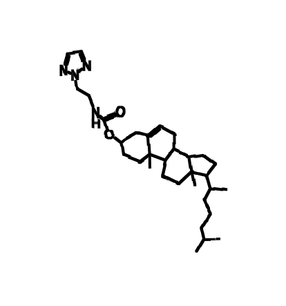 CC(C)CCCC(C)C1CCC2C3CC=C4CC(OC(=O)NCCn5nccn5)CCC4(C)C3CCC12C